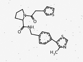 Cc1ncsc1-c1ccc(CNC(=O)C2CCCN2C(=O)Cc2ccsc2)cc1